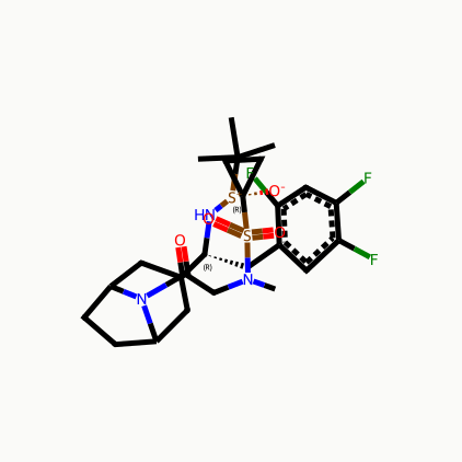 CN(CC(=O)N1C2CCC1CC([C@@H](Cc1cc(F)c(F)cc1F)N[S@@+]([O-])C(C)(C)C)C2)S(=O)(=O)C1CC1